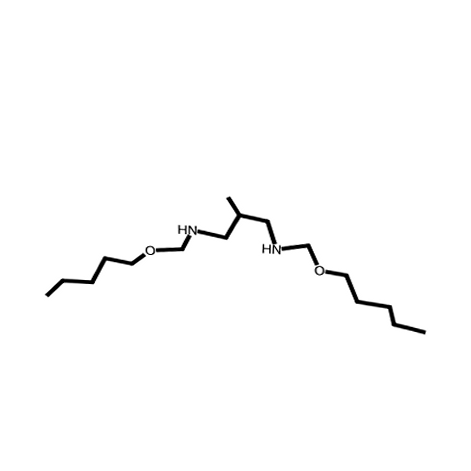 CCCCCOCNCC(C)CNCOCCCCC